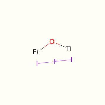 CC[O][Ti].I[I-]I